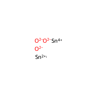 [O-2].[O-2].[O-2].[Sn+2].[Sn+4]